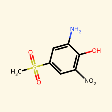 CS(=O)(=O)c1cc(N)c(O)c([N+](=O)[O-])c1